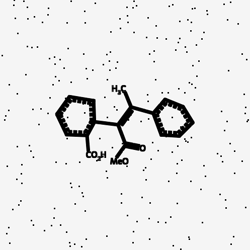 COC(=O)/C(=C(/C)c1ccccc1)c1ccccc1C(=O)O